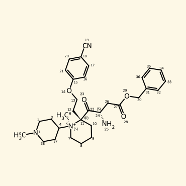 CN1CCC([N@+]2(C)CCCC[C@@]2(CCOc2ccc(C#N)cc2)C(=O)[C@@H](N)CC(=O)OCc2ccccc2)CC1